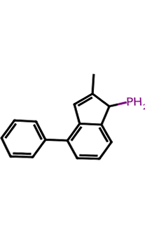 CC1=Cc2c(-c3ccccc3)cccc2C1P